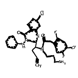 C#CCC(c1nc2cc(Cl)ccc2c(=O)n1Nc1ccccc1)N(CCCN)C(=O)c1cc(F)c(Cl)cc1F